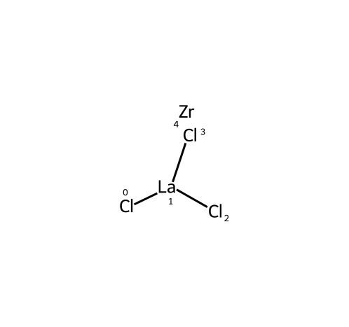 [Cl][La]([Cl])[Cl].[Zr]